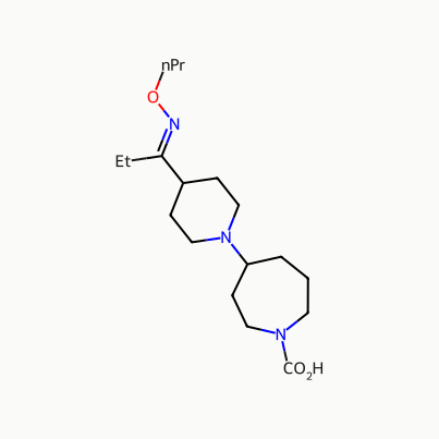 CCCO/N=C(\CC)C1CCN(C2CCCN(C(=O)O)CC2)CC1